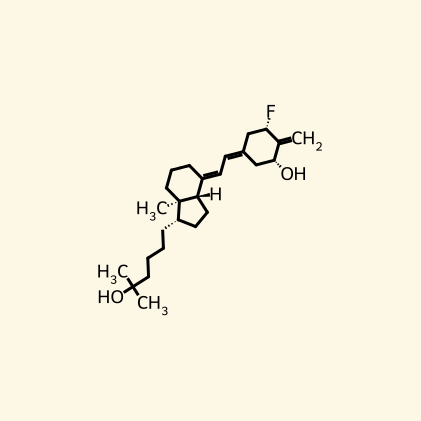 C=C1[C@H](O)C/C(=C\C=C2/CCC[C@]3(C)[C@@H](CCCCC(C)(C)O)CC[C@@H]23)C[C@@H]1F